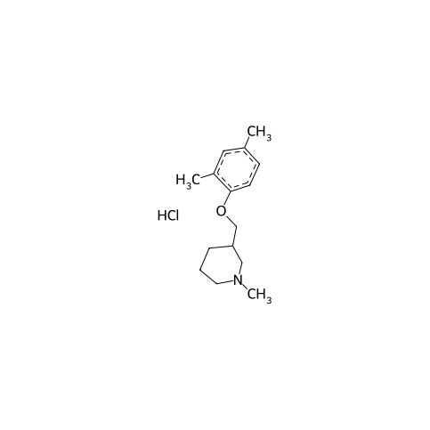 Cc1ccc(OCC2CCCN(C)C2)c(C)c1.Cl